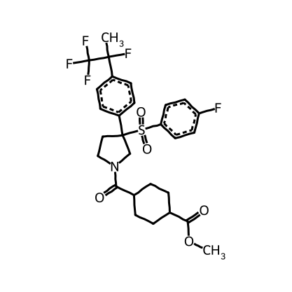 COC(=O)C1CCC(C(=O)N2CCC(c3ccc(C(C)(F)C(F)(F)F)cc3)(S(=O)(=O)c3ccc(F)cc3)C2)CC1